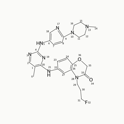 Cc1cnc(Nc2ccc(N3CCN(C)CC3)nc2)nc1Nc1ccc2c(c1)N(CCCF)C(=O)CO2